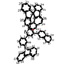 c1cc(-c2cc(-c3ccc4ccccc4c3)cc(-c3ccc4c(c3)C3(c5ccccc5-4)c4ccccc4-c4ccc5ccccc5c43)n2)cc(-n2c3ccccc3c3ccccc32)c1